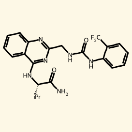 CC(C)[C@H](Nc1nc(CNC(=O)Nc2ccccc2C(F)(F)F)nc2ccccc12)C(N)=O